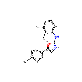 Cc1cccc(Nc2ncc(-c3ccc(C#N)cc3)o2)c1C